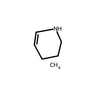 C.C1=CNCCC1